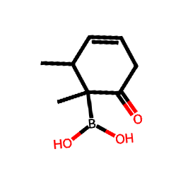 CC1C=CCC(=O)C1(C)B(O)O